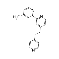 Cc1ccnc(-c2cc(CCc3ccncc3)ccn2)c1